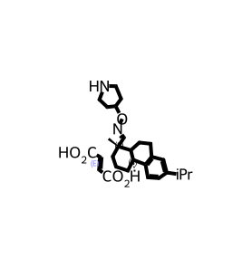 CC(C)c1ccc2c(c1)CCC1[C@@](C)(C=NOC3CCNCC3)CCC[C@]21C.O=C(O)/C=C/C(=O)O